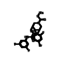 CC(C)(C)OC(=O)N1CC2CN(C(=O)Nc3cc(F)cc(F)c3)CC(C1)C2(O)c1ccc(Br)cc1F